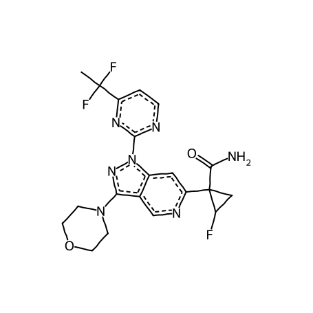 CC(F)(F)c1ccnc(-n2nc(N3CCOCC3)c3cnc(C4(C(N)=O)CC4F)cc32)n1